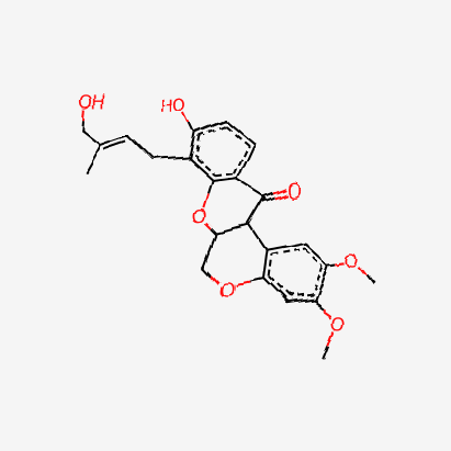 COc1cc2c(cc1OC)C1C(=O)c3ccc(O)c(C/C=C(\C)CO)c3OC1CO2